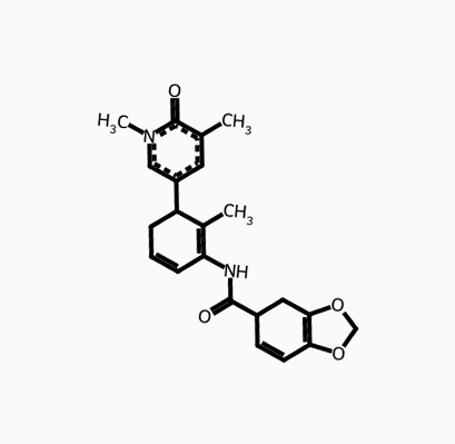 CC1=C(NC(=O)C2C=CC3=C(C2)OCO3)C=CCC1c1cc(C)c(=O)n(C)c1